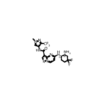 Cn1cc(NC(=O)c2cnn3ccc(N[C@H]4CCC(F)(F)C[C@H]4N)nc23)c(C(F)(F)F)n1